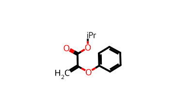 C=C(Oc1ccccc1)C(=O)OC(C)C